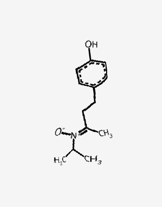 C/C(CCc1ccc(O)cc1)=[N+](/[O-])C(C)C